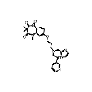 CCN1C(=O)C(C)(C)C(=O)N(C)c2cc(OCCCN(CCc3cccnc3)Cc3ncc[nH]3)ccc21